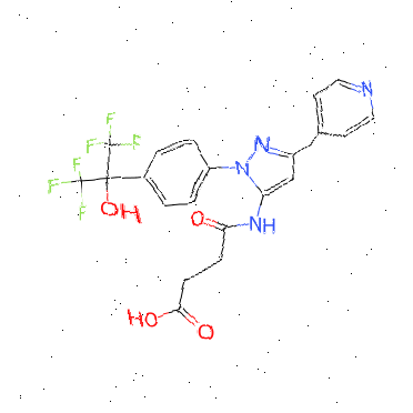 O=C(O)CCC(=O)Nc1cc(-c2ccncc2)nn1-c1ccc(C(O)(C(F)(F)F)C(F)(F)F)cc1